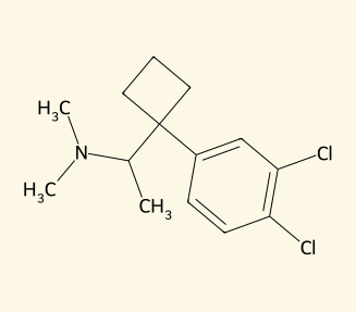 CC(N(C)C)C1(c2ccc(Cl)c(Cl)c2)CCC1